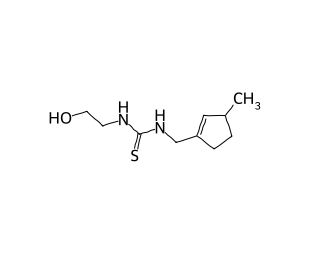 CC1C=C(CNC(=S)NCCO)CC1